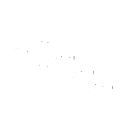 CC1CC(NC(=S)NC(=O)O)CCC1O